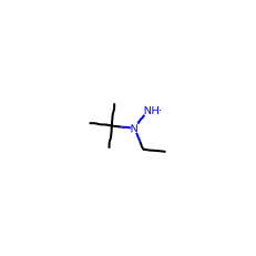 CCN([NH])C(C)(C)C